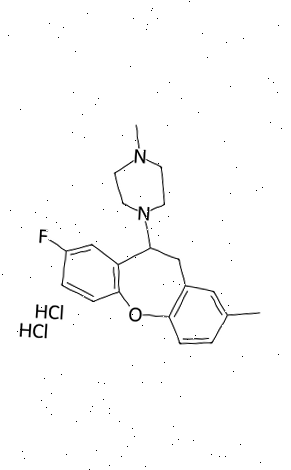 Cc1ccc2c(c1)CC(N1CCN(C)CC1)c1cc(F)ccc1O2.Cl.Cl